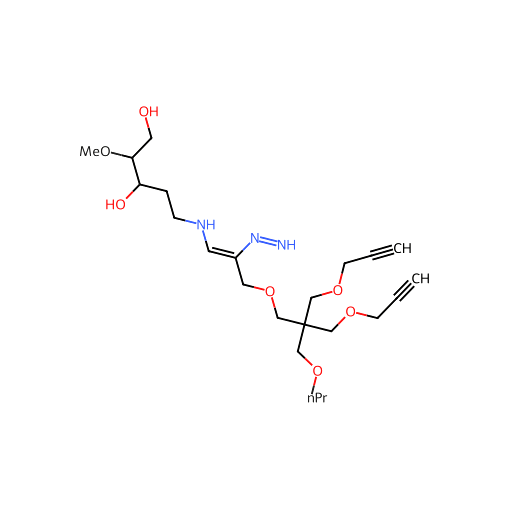 C#CCOCC(COCC#C)(COCCC)COC/C(=C/NCCC(O)C(CO)OC)N=N